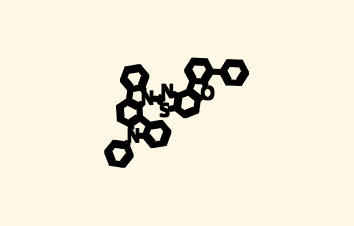 c1ccc(-c2cccc3c2oc2ccc4sc(-n5c6ccccc6c6ccc7c(c8ccccc8n7-c7ccccc7)c65)nc4c23)cc1